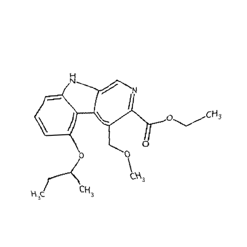 CCOC(=O)c1ncc2[nH]c3cccc(OC(C)CC)c3c2c1COC